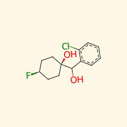 OC(c1ccccc1Cl)[C@]1(O)CC[C@@H](F)CC1